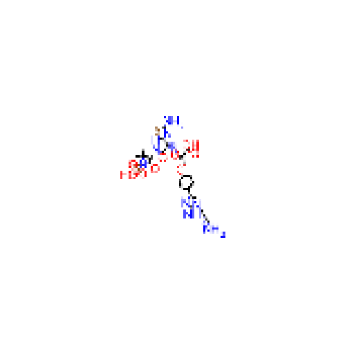 CC1(C)[C@H](NC(=O)/C(=N\O[C@@H](COc2ccc(-c3cn(CCCN)c(N)n3)cc2)C(=O)O)c2csc(N)n2)C(=O)N1S(=O)(=O)O